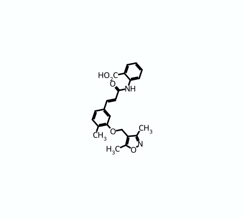 Cc1ccc(/C=C/C(=O)Nc2ccccc2C(=O)O)cc1OCc1c(C)noc1C